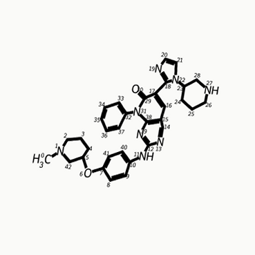 CN1CCCC(Oc2ccc(Nc3ncc4cc(-c5nccn5C5CCCNC5)c(=O)n(-c5ccccc5)c4n3)cc2)C1